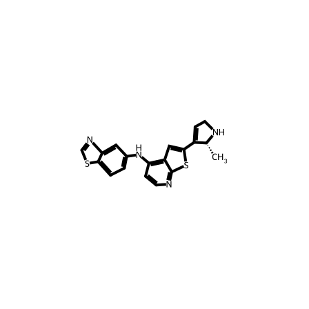 C[C@H]1NCC=C1c1cc2c(Nc3ccc4scnc4c3)ccnc2s1